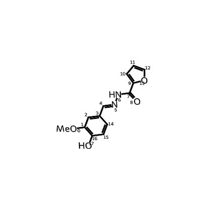 COc1cc(C=NNC(=O)c2ccco2)ccc1O